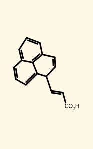 O=C(O)C=CC1C=Cc2cccc3cccc1c23